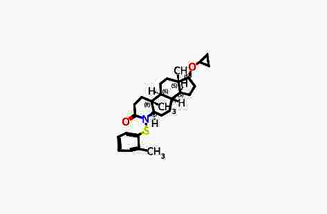 Cc1ccccc1SN1C(=O)CC[C@]2(C)[C@H]3CC[C@]4(C)[C@@H](OC5CC5)CC[C@H]4[C@@H]3CC[C@@H]12